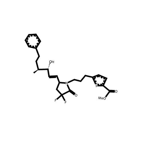 COC(=O)c1ccc(CCCN2C(=O)C(F)(F)CC2C=C[C@@H](O)[C@@H](C)CCc2ccccc2)s1